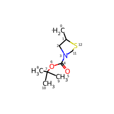 [CH2]C1CN(C(=O)OC(C)(C)C)CS1